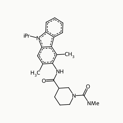 CNC(=O)N1CCCC(C(=O)Nc2c(C)cc3c(c2C)c2ccccc2n3C(C)C)C1